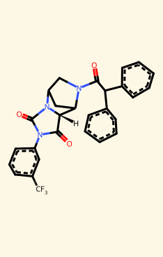 O=C1[C@H]2C3CC(CN3C(=O)C(c3ccccc3)c3ccccc3)N2C(=O)N1c1cccc(C(F)(F)F)c1